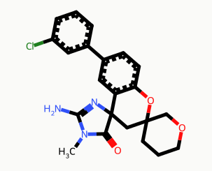 CN1C(=O)C2(CC3(CCCOC3)Oc3ccc(-c4cccc(Cl)c4)cc32)N=C1N